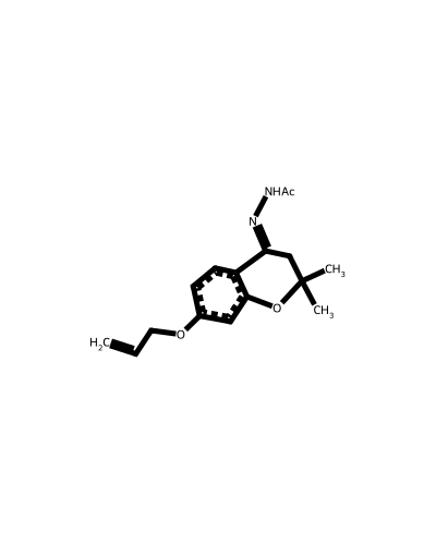 C=CCOc1ccc2c(c1)OC(C)(C)CC2=NNC(C)=O